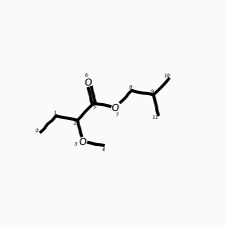 CCC(OC)C(=O)OCC(C)C